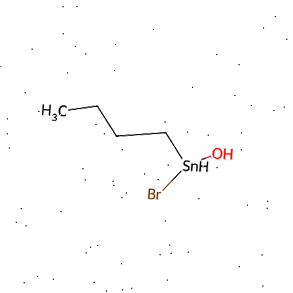 CCC[CH2][SnH]([OH])[Br]